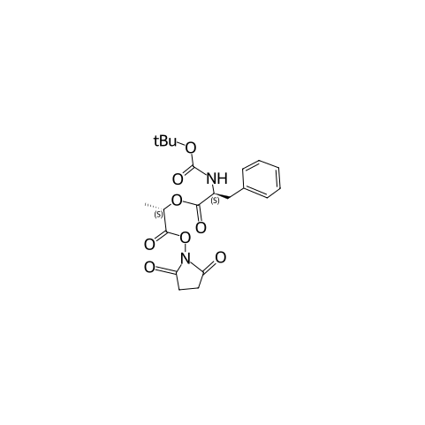 C[C@H](OC(=O)[C@H](Cc1ccccc1)NC(=O)OC(C)(C)C)C(=O)ON1C(=O)CCC1=O